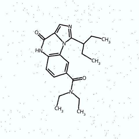 CCC(CC)c1ncc2c(=O)[nH]c3ccc(C(=O)N(CC)CC)cc3n12